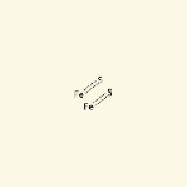 [S]=[Fe].[S]=[Fe]